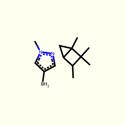 Bc1cnn(C)c1.CC1C2CC2(C)C1(C)C